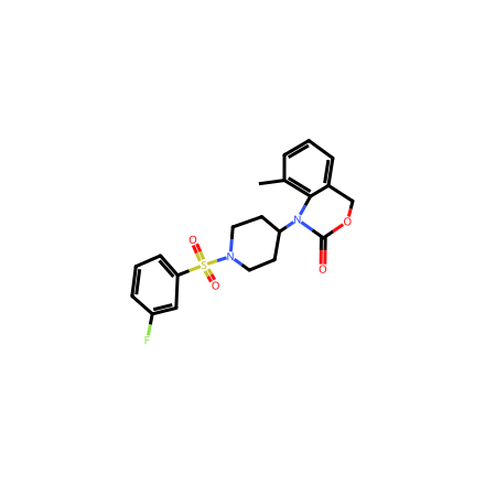 Cc1cccc2c1N(C1CCN(S(=O)(=O)c3cccc(F)c3)CC1)C(=O)OC2